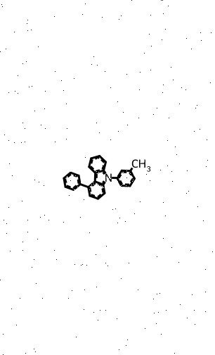 Cc1cccc(-n2c3ccccc3c3c(-c4ccccc4)cccc32)c1